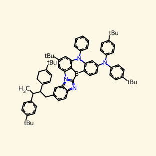 CC(c1ccc(C(C)(C)C)cc1)C(Cc1ccc2nc3n(c2c1)-c1cc(C(C)(C)C)cc2c1B3c1ccc(N(c3ccc(C(C)(C)C)cc3)c3ccc(C(C)(C)C)cc3)cc1N2c1ccccc1)C1=CC=C(C(C)(C)C)CC1